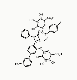 O=C(O)C1O[C@@H](Oc2cc(-c3cccc(O)c3)ccc2[C@@H]2[C@@H](CC[C@H](O[C@@H]3OC(C(=O)O)[C@@H](O)[C@H](O)C3O)c3ccc(F)cc3)C(=O)N2c2ccccc2)C(O)[C@@H](O)[C@@H]1O